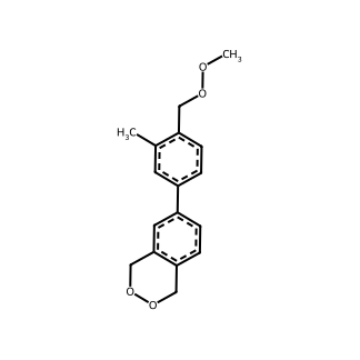 COOCc1ccc(-c2ccc3c(c2)COOC3)cc1C